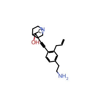 C=CCc1cc(CCN)ccc1C#CC1(O)CN2CCC1CC2